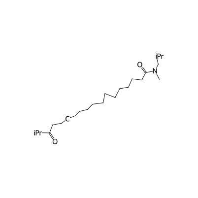 CC(C)CN(C)C(=O)CCCCCCCCCCCCCCC(=O)C(C)C